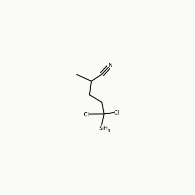 CC(C#N)CCC([SiH3])(Cl)Cl